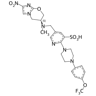 CN(Cc1cnc(N2CCN(c3ccc(OC(F)(F)F)cc3)CC2)c(S(=O)(=O)O)c1)[C@@H]1COc2nc([N+](=O)[O-])cn2C1